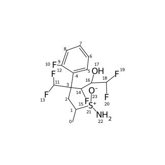 CC(CC(c1ccccc1F)(C(F)F)C(F)C(O)C(F)F)[S+](N)[O-]